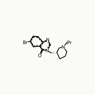 CC(C)N1CCC[C@H](Cn2cnc3ccc(Br)cc3c2=O)C1